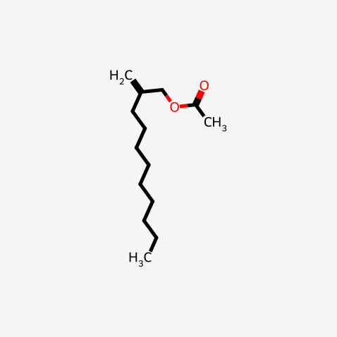 C=C(CCCCCCCCC)COC(C)=O